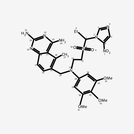 CCC(n1cncc1[N+](=O)[O-])S(=O)(=O)CCN(Cc1ccc2nc(N)nc(N)c2c1C)c1cc(OC)c(OC)c(OC)c1